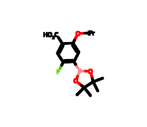 CC(C)Oc1cc(B2OC(C)(C)C(C)(C)O2)c(F)cc1C(=O)O